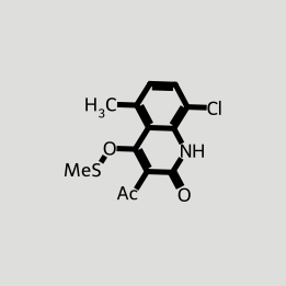 CSOc1c(C(C)=O)c(=O)[nH]c2c(Cl)ccc(C)c12